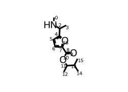 CNC(C)c1ccc(C(=O)OC(C)C(C)C)o1